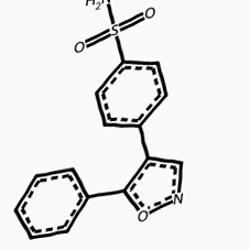 NS(=O)(=O)c1ccc(-c2cnoc2-c2ccccc2)cc1